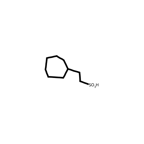 O=S(=O)(O)CCC1CCCCCC1